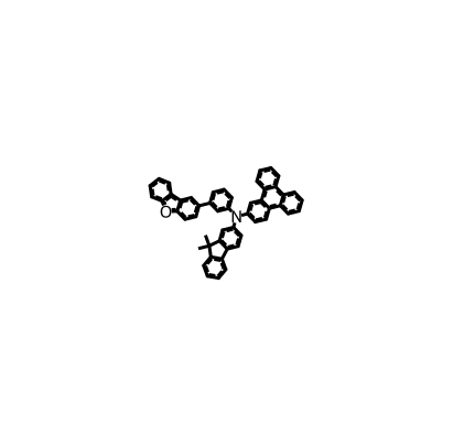 CC1(C)c2ccccc2-c2ccc(N(c3cccc(-c4ccc5oc6ccccc6c5c4)c3)c3ccc4c5ccccc5c5ccccc5c4c3)cc21